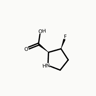 O=C(O)[C@@H]1NCC[C@@H]1F